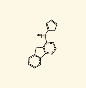 [CH2]=[Hf]([C]1=CC=CC1)[c]1cccc2c1Cc1ccccc1-2